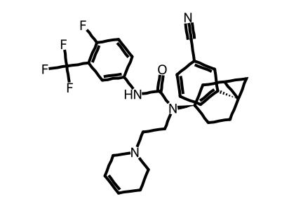 N#Cc1cccc([C@]23CC[C@@H](N(CCN4CC=CCC4)C(=O)Nc4ccc(F)c(C(F)(F)F)c4)CC2C3)c1